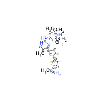 Cc1cnc(NC2CC(C)(C)NC(C)(C)C2)nc1-c1ccc(-c2ccc(C(C)N)s2)s1